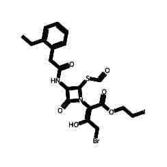 CCc1ccccc1CC(=O)NC1C(=O)N(C(C(=O)OCCI)=C(O)CBr)C1SC=O